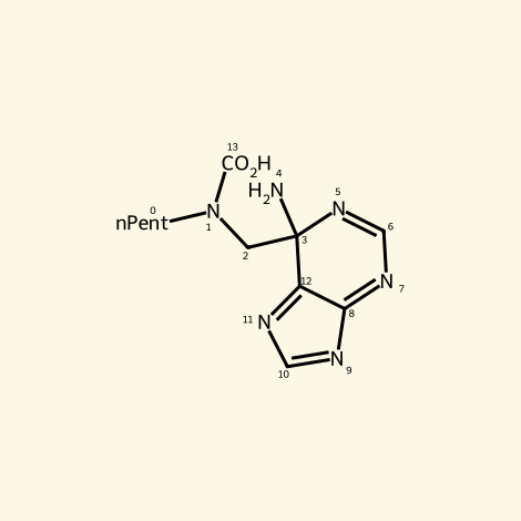 CCCCCN(CC1(N)N=CN=C2N=CN=C21)C(=O)O